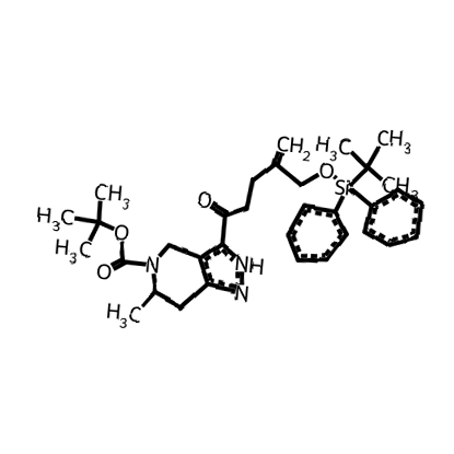 C=C(CCC(=O)c1[nH]nc2c1CN(C(=O)OC(C)(C)C)C(C)C2)CO[Si](c1ccccc1)(c1ccccc1)C(C)(C)C